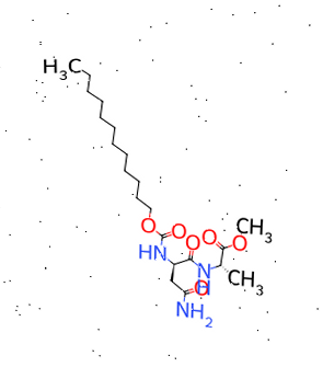 CCCCCCCCCCCCOC(=O)N[C@H](CC(N)=O)C(=O)N[C@@H](C)C(=O)OC